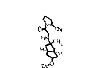 CCOC1C[C@@H]2CC(C)(NCC(=O)N3CCCC3C#N)C[C@@H]2C1